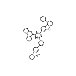 CC1(C)c2ccccc2-c2ccc(-c3cccc(-c4nc(-c5ccc6c(c5)oc5cccc(-c7ccccc7)c56)nc(-c5cc6ccccc6c6ccccc56)n4)c3)cc21